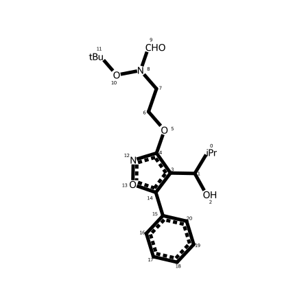 CC(C)C(O)c1c(OCCN(C=O)OC(C)(C)C)noc1-c1ccccc1